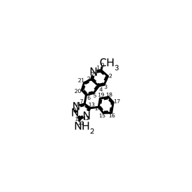 Cc1ccc2cc(-c3nnc(N)nc3-c3ccccc3)ccc2n1